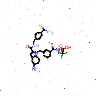 NC(=S)c1ccc(CNC(=O)c2cc3cc(N)ccc3n2Cc2cccc(C(N)=S)c2)cc1.O=C(O)C(F)(F)F